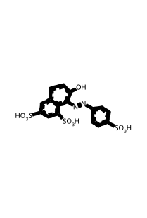 O=S(=O)(O)c1ccc(N=Nc2c(O)ccc3cc(S(=O)(=O)O)cc(S(=O)(=O)O)c23)cc1